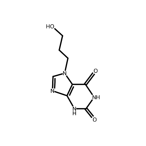 O=c1[nH]c(=O)c2c(ncn2CCCO)[nH]1